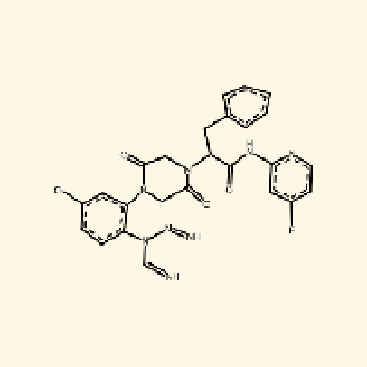 N=CN(N=N)c1ccc(Cl)cc1N1CC(=O)N(C(Cc2ccccc2)C(=O)Nc2cc(F)ccn2)CC1=O